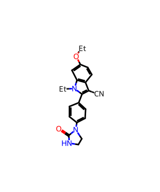 CCOc1ccc2c(C#N)c(-c3ccc(N4CCNC4=O)cc3)n(CC)c2c1